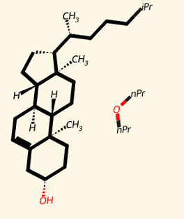 CC(C)CCC[C@@H](C)[C@H]1CC[C@H]2[C@@H]3CC=C4C[C@@H](O)CC[C@]4(C)[C@H]3CC[C@]12C.CCCOCCC